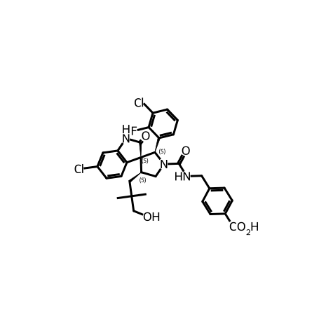 CC(C)(CO)C[C@@H]1CN(C(=O)NCc2ccc(C(=O)O)cc2)[C@H](c2cccc(Cl)c2F)[C@]12C(=O)Nc1cc(Cl)ccc12